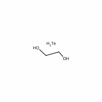 OCCO.[TeH2]